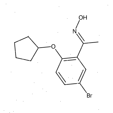 CC(=NO)c1cc(Br)ccc1OC1CCCC1